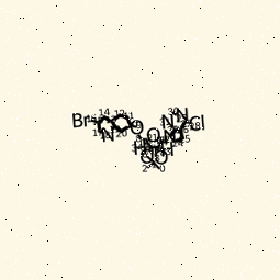 CC1(C)O[C@@H]2[C@H](O1)[C@@H](COc1ccc3cc(Br)cnc3c1)O[C@H]2n1ccc2c(Cl)ncnc21